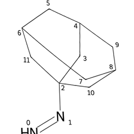 N=NC12CC3CC(CC(C3)C1)C2